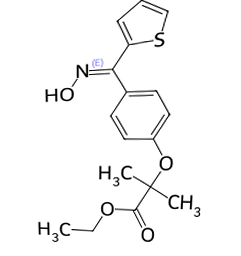 CCOC(=O)C(C)(C)Oc1ccc(/C(=N\O)c2cccs2)cc1